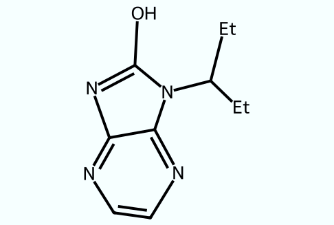 CCC(CC)n1c(O)nc2nccnc21